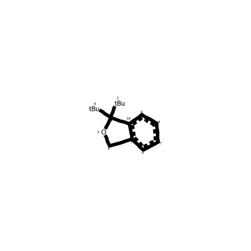 CC(C)(C)C1(C(C)(C)C)OCc2ccccc21